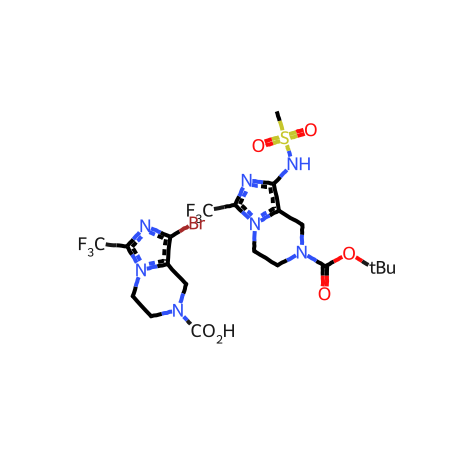 CC(C)(C)OC(=O)N1CCn2c(C(F)(F)F)nc(NS(C)(=O)=O)c2C1.O=C(O)N1CCn2c(C(F)(F)F)nc(Br)c2C1